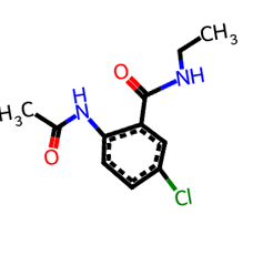 CCNC(=O)c1cc(Cl)ccc1NC(C)=O